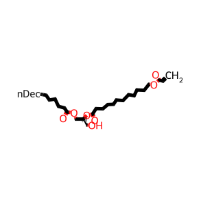 C=CC(=O)OCCCCCCCCCCCC(=O)O[C@@H](CO)COC(=O)CCCCCCCCCCCCCCC